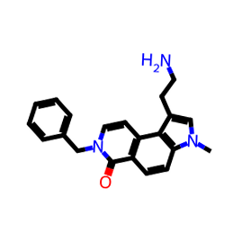 Cn1cc(CCN)c2c3ccn(Cc4ccccc4)c(=O)c3ccc21